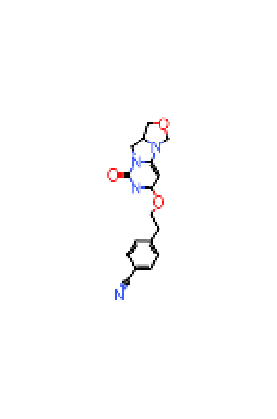 N#Cc1ccc(CCOc2cc3n(c(=O)n2)CC2COCN32)cc1